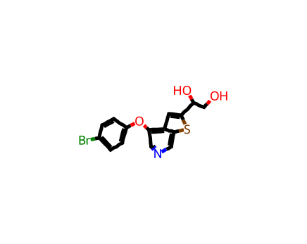 OCC(O)c1cc2c(Oc3ccc(Br)cc3)cncc2s1